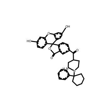 NC1CC(C(=O)c2ccc3c(c2)C(=O)OC32c3ccc(O)cc3Oc3cc(O)ccc32)CCN1C1(c2ccccc2)CCCCC1